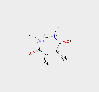 C=CC(=O)N(CC)CC.C=CC(=O)NCCCC